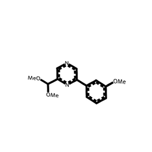 COc1cccc(-c2cncc(C(OC)OC)n2)c1